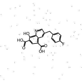 O=C(O)c1cc(C(=O)O)c2cc(Cc3ccc(F)cc3)cnc2c1O